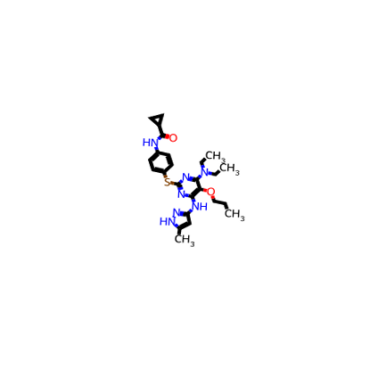 CCCOc1c(Nc2cc(C)[nH]n2)nc(Sc2ccc(NC(=O)C3CC3)cc2)nc1N(CC)CC